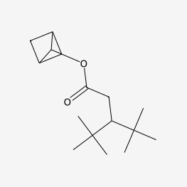 CC(C)(C)C(CC(=O)OC1C2CC1C2)C(C)(C)C